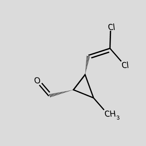 CC1[C@@H](C=C(Cl)Cl)[C@H]1C=O